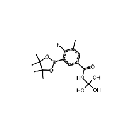 Cc1cc(C(=O)NC(O)(O)O)cc(B2OC(C)(C)C(C)(C)O2)c1F